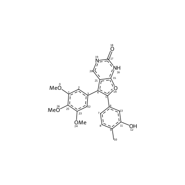 COc1cc(-c2c(-c3ccc(C)c(O)c3)oc3[nH]c(=O)ncc23)cc(OC)c1OC